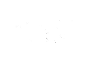 NNC(=O)Cn1nnnc1CC(=O)O